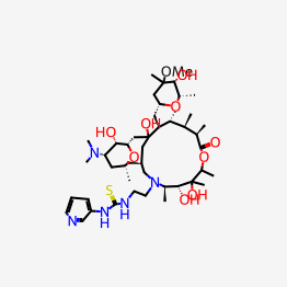 COC1(C)C[C@@H](C[C@H]2[C@H](C)[C@@H](C)[C@@H](C)C(=O)OC(C)C(C)(O)[C@H](O)[C@@H](C)N(CCNC(=S)Nc3cccnc3)C[C@@H](C)CC2(O)C[C@@H]2O[C@H](C)C[C@H](N(C)C)[C@@H]2O)O[C@@H](C)[C@H]1O